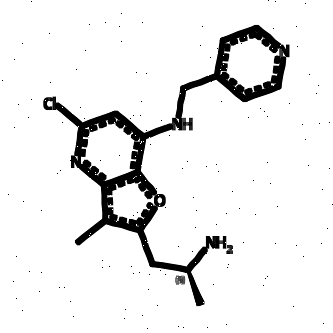 Cc1c(C[C@H](C)N)oc2c(NCc3ccncc3)cc(Cl)nc12